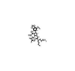 CCCCN(CCN)C(=O)CN1C[C@H](c2cc(OC)c3c(c2)OCO3)[C@@H](C(=O)O)[C@@H]1CCN(C)C(C)=O